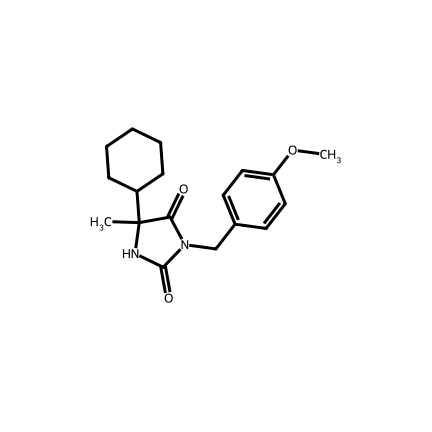 COc1ccc(CN2C(=O)NC(C)(C3CCCCC3)C2=O)cc1